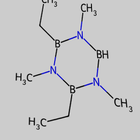 CCB1N(C)BN(C)B(CC)N1C